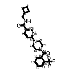 O=C(NCC1CCC1)c1ccc(N2CCN(C(=O)c3ccccc3C(F)(F)F)CC2)nn1